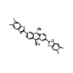 Cc1cc2nc(-c3ccc4c(C(C)(C)C)c5cc(-c6nc7cc(C)c(C)cc7s6)ccc5c(C(C)(C)C)c4c3)oc2cc1C